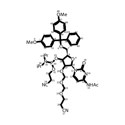 COc1ccc(C(OC[C@H]2O[C@@H](n3ccc(NC(C)=O)nc3=O)C(OCOCOCCC#N)C2OP(OCCC#N)N(C(C)C)C(C)C)(c2ccccc2)c2ccc(OC)cc2)cc1